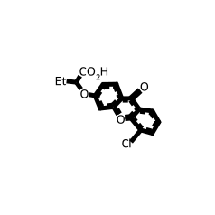 CCC(Oc1ccc2c(=O)c3cccc(Cl)c3oc2c1)C(=O)O